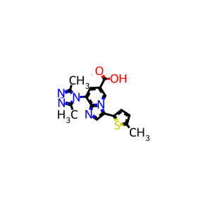 Cc1ccc(-c2cnc3c(-n4c(C)nnc4C)cc(C(=O)O)cn23)s1